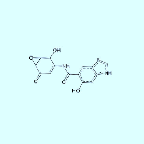 O=C(NC1=CC(=O)C2OC2C1O)c1cc2nc[nH]c2cc1O